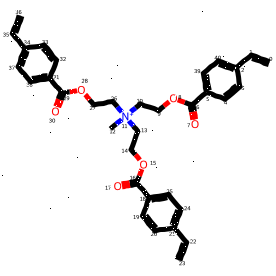 C=Cc1ccc(C(=O)OCC[N+](C)(CCOC(=O)c2ccc(C=C)cc2)CCOC(=O)c2ccc(C=C)cc2)cc1